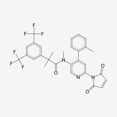 Cc1ccccc1-c1cc(N2C(=O)C=CC2=O)ncc1N(C)C(=O)C(C)(C)c1cc(C(F)(F)F)cc(C(F)(F)F)c1